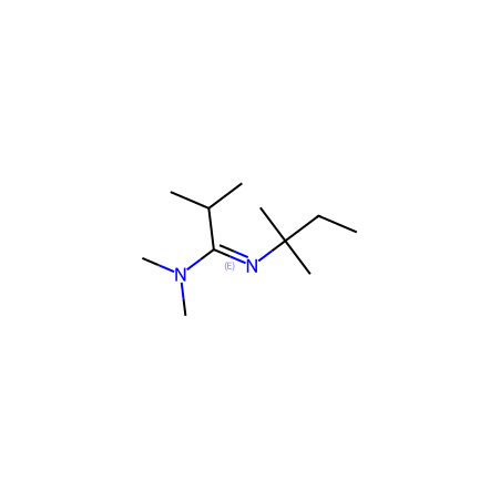 CCC(C)(C)/N=C(\C(C)C)N(C)C